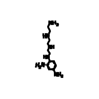 NCCNCCNCCNc1ccc(N)cc1N